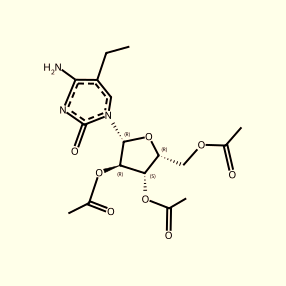 CCc1cn([C@@H]2O[C@H](COC(C)=O)[C@H](OC(C)=O)[C@H]2OC(C)=O)c(=O)nc1N